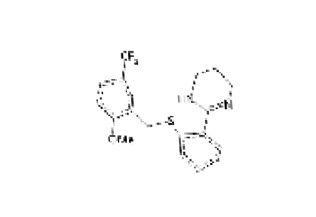 COc1ccc(C(F)(F)F)cc1CSc1ccccc1C1=NCCCN1